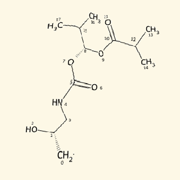 [CH2][C@H](O)CNC(=O)O[C@@H](OC(=O)C(C)C)C(C)C